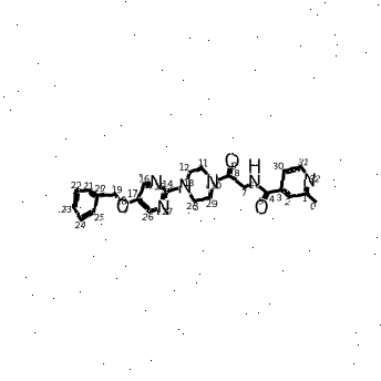 Cc1cc(C(=O)NCC(=O)N2CCN(c3ncc(OCc4ccccc4)cn3)CC2)ccn1